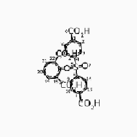 O=C(O)c1ccc(S(=O)(=O)c2ccc(C(=O)O)cc2)cc1.O=C(O)c1cccc(C(=O)O)c1